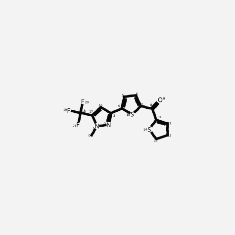 Cn1nc(-c2ccc(C(=O)C3=CCCS3)s2)cc1C(F)(F)F